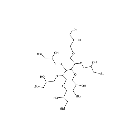 CC(C)(C)CC(O)COCC(OCC(O)CC(C)(C)C)C(OCC(O)CC(C)(C)C)C(OCC(O)CC(C)(C)C)C(COCC(O)CC(C)(C)C)OCC(O)CC(C)(C)C